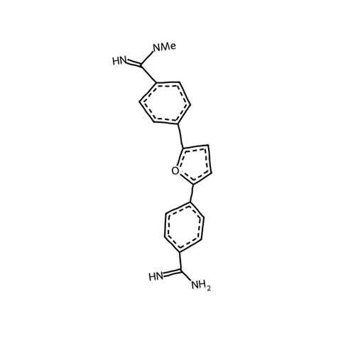 CNC(=N)c1ccc(-c2ccc(-c3ccc(C(=N)N)cc3)o2)cc1